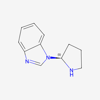 c1ccc2c(c1)ncn2[C@H]1CCCN1